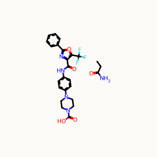 CCC(N)=O.O=C(Nc1ccc(N2CCN(C(=O)O)CC2)cc1)c1nc(-c2ccccc2)oc1C(F)(F)F